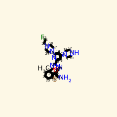 CC1(c2nc(-c3cc(N4CCNCC4)cc(N4CCN(CCF)CC4)n3)no2)CCCc2sc(N)c(C#N)c21